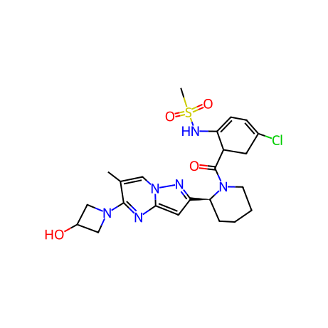 Cc1cn2nc([C@@H]3CCCCN3C(=O)C3CC(Cl)=CC=C3NS(C)(=O)=O)cc2nc1N1CC(O)C1